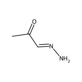 CC(=O)C=NN